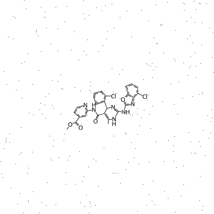 COC(=O)c1ccnc(NC(=O)C2=C(C)NC(Nc3nc4c(Cl)cccc4o3)=NC2c2ccccc2Cl)c1